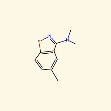 [CH2]c1ccc2snc(N(C)C)c2c1